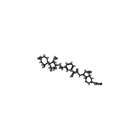 CCCCCC1CCN2C(CNC(=O)c3cccc(NCC4NNC(C5CCNCN5C)N4CCC)c3)CNC2C1